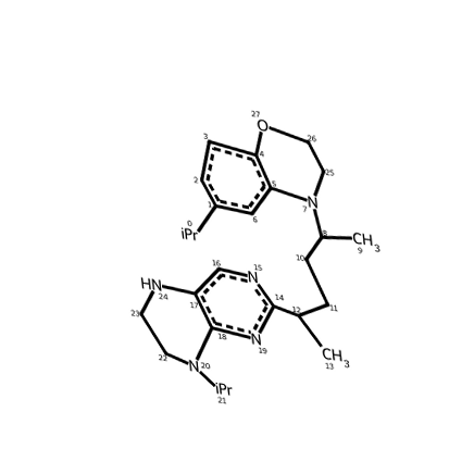 CC(C)c1ccc2c(c1)N(C(C)CCC(C)c1ncc3c(n1)N(C(C)C)CCN3)CCO2